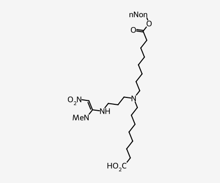 CCCCCCCCCOC(=O)CCCCCCCN(CCCCCCCC(=O)O)CCCNC(=C[N+](=O)[O-])NC